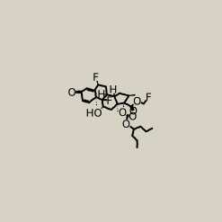 CCCC(CCC)OC(=O)O[C@@]1(C(=O)OCF)[C@H](C)C[C@H]2[C@@H]3C[C@H](F)C4=CC(=O)C=C[C@]4(C)C3(F)[C@@H](O)C[C@@]21C